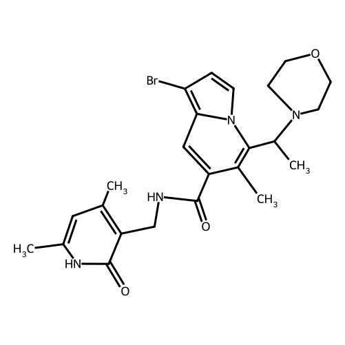 Cc1cc(C)c(CNC(=O)c2cc3c(Br)ccn3c(C(C)N3CCOCC3)c2C)c(=O)[nH]1